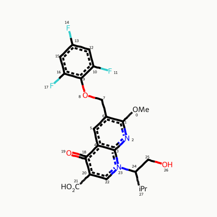 COc1nc2c(cc1COc1c(F)cc(F)cc1F)c(=O)c(C(=O)O)cn2C(CO)C(C)C